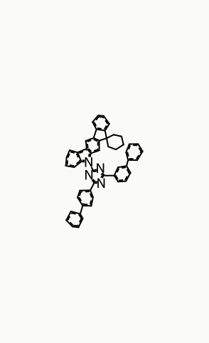 c1ccc(-c2ccc(-c3nc(-c4cccc(-c5ccccc5)c4)nc(-n4c5ccccc5c5cc6c(cc54)C4(CCCCC4)c4ccccc4-6)n3)cc2)cc1